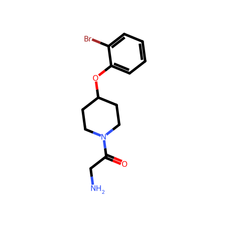 NCC(=O)N1CCC(Oc2ccccc2Br)CC1